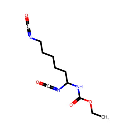 CCOC(=O)NC(CCCCCN=C=O)N=C=O